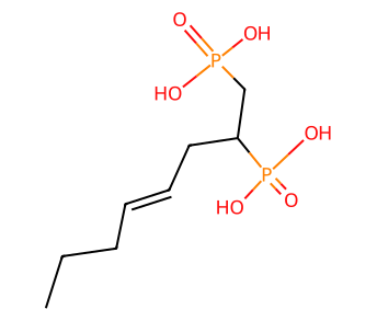 CCCC=CCC(CP(=O)(O)O)P(=O)(O)O